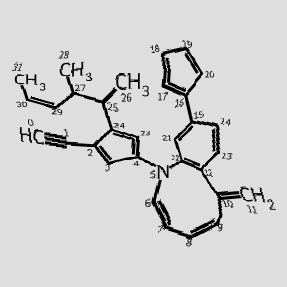 C#CC1=CC(N2/C=C\C=C/C(=C)c3ccc(C4=C=CC=C4)cc32)=C=C1C(C)C(C)/C=C\C